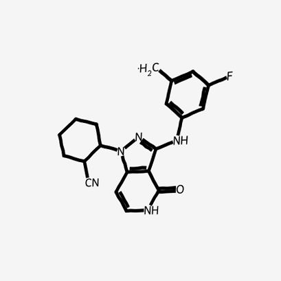 [CH2]c1cc(F)cc(Nc2nn(C3CCCCC3C#N)c3cc[nH]c(=O)c23)c1